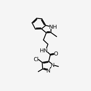 Cc1nn(C)c(C(=O)NCCc2c(C)[nH]c3ccccc23)c1Cl